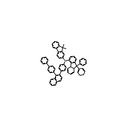 CC1(C)c2ccccc2-c2ccc(N(c3ccc(-c4ccc5ccccc5c4-c4ccc(-c5ccccc5)cc4)cc3)c3cccc4c3C3C=CC=CC3C4(C3=CCCC=C3)c3ccccc3)cc21